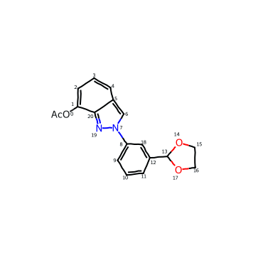 CC(=O)Oc1cccc2cn(-c3cccc(C4OCCO4)c3)nc12